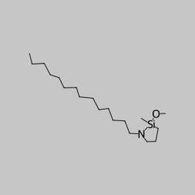 CCCCCCCCCCCCCCN1CCC[Si]1(C)OC